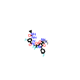 C[C@]1(C(N)=O)COc2c1cc(C(O)(CNC(=O)c1cc(F)cc(NC(=O)NC3CC3)c1)C(F)(F)F)nc2-c1ccc(F)cc1